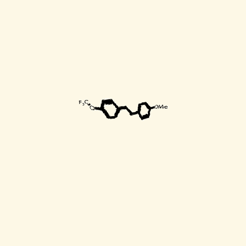 COc1ccc(CCc2ccc(OC(F)(F)F)cc2)cc1